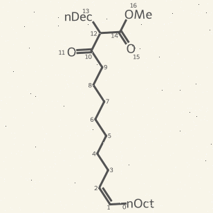 CCCCCCCC/C=C\CCCCCCCC(=O)C(CCCCCCCCCC)C(=O)OC